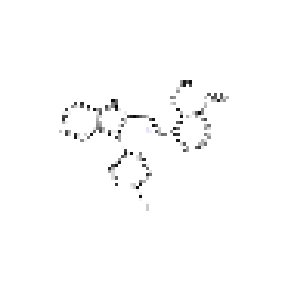 COc1cccc(/C=C/c2nc3ccccc3n2-c2ccc(Cl)cn2)c1OC(C)C